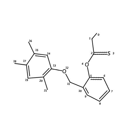 CCC(=S)Oc1ccccc1COc1cc(C)c(C)cc1C